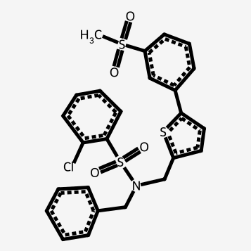 CS(=O)(=O)c1cccc(-c2ccc(CN(Cc3ccccc3)S(=O)(=O)c3ccccc3Cl)s2)c1